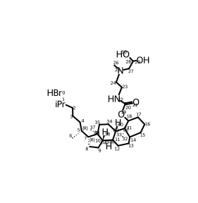 Br.CC(C)CCC[C@@H](C)[C@H]1CC[C@H]2[C@@H]3CCC4CCCC(OC(=O)NCCN(C)CC(O)O)[C@]4(C)[C@H]3CC[C@]12C